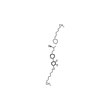 CCCCCCCCOc1ccc(-c2ccc(CCC(C#N)C[C@H]3CC[C@H](CCCCCCC)CC3)cc2)c(F)c1F